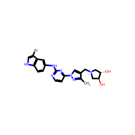 CC(=O)c1c[nH]c2ccc(Nc3nccc(-n4cc(CN5C[C@H](O)[C@@H](O)C5)c(C)n4)n3)cc12